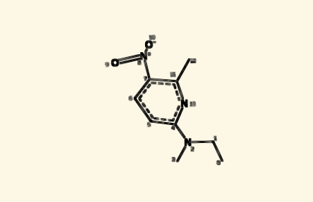 CCN(C)c1ccc([N+](=O)[O-])c(C)n1